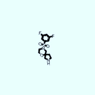 O=S(=O)(c1cc(F)cc(F)c1)N1CCOC2(CCNC2)C1